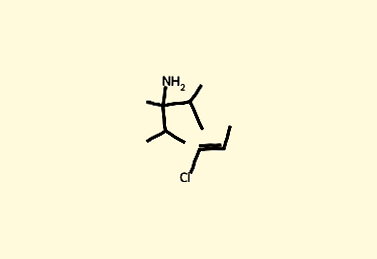 CC(C)C(C)(N)C(C)C.CC=CCl